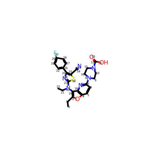 CCc1oc2ccc(N3CCN(C(=O)O)CC3)nc2c1N(CC)c1nc(-c2ccc(F)cc2)c(C#N)s1